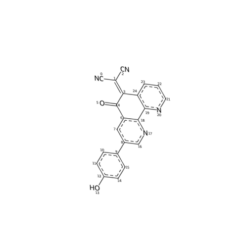 N#CC(C#N)=C1C(=O)c2cc(-c3ccc(O)cc3)cnc2-c2ncccc21